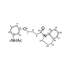 CC(=O)Nc1cccc(OCCCC(=O)N2CCCc3ccccc32)c1